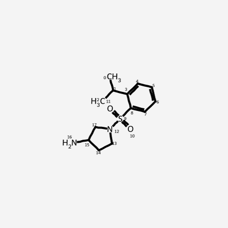 CC(C)c1ccccc1S(=O)(=O)N1CCC(N)C1